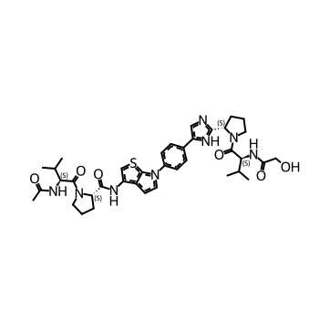 CC(=O)N[C@H](C(=O)N1CCC[C@H]1C(=O)Nc1csc2c1ccn2-c1ccc(-c2cnc([C@@H]3CCCN3C(=O)[C@@H](NC(=O)CO)C(C)C)[nH]2)cc1)C(C)C